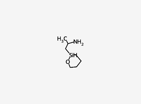 CC(N)C[SiH]1CCCCO1